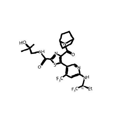 CC[C@H](Nc1cc(C(F)(F)F)c(-c2sc(C(=O)NCC(C)(C)O)nc2C(=O)N2C3CCC2CC3)cn1)C(F)(F)F